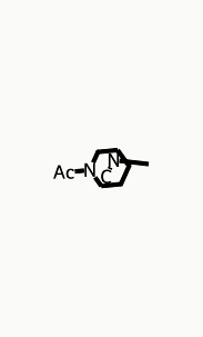 CC(=O)N1CC2CCC1CN2C